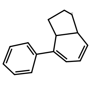 [C]1CCC2C(c3ccccc3)=CC=CC12